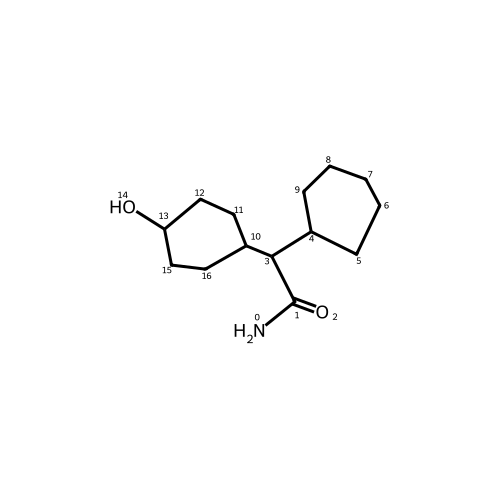 NC(=O)C(C1CCCCC1)C1CCC(O)CC1